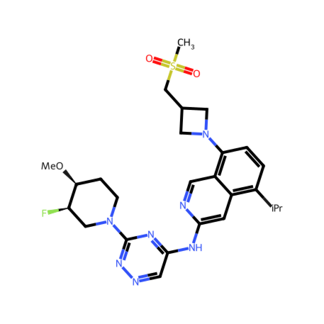 CO[C@H]1CCN(c2nncc(Nc3cc4c(C(C)C)ccc(N5CC(CS(C)(=O)=O)C5)c4cn3)n2)C[C@H]1F